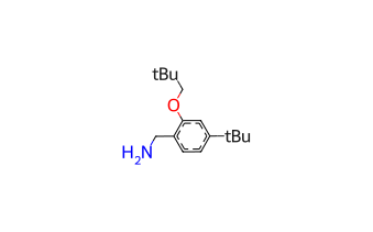 CC(C)(C)COc1cc(C(C)(C)C)ccc1CN